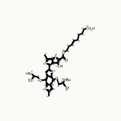 CCCCC(CC)COc1c2cc(-c3sc(C)c4sc(C(=O)OCCCCCCCCC(=O)O)c(C#N)c34)sc2c(OCC(CC)CCCC)c2cc(C)sc12